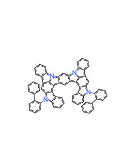 c1ccc(-c2ccccc2-n2c3ccccc3c3c4c5cc6c7c8c9ccccc9n(-c9ccccc9-c9ccccc9)c8cc8c9ccccc9n(c6cc5n5c6ccccc6c(cc32)c45)c87)cc1